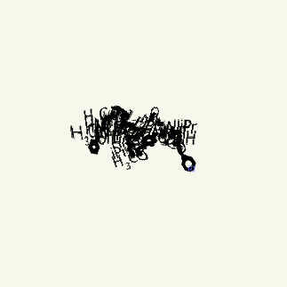 CC[C@H](C)[C@@H]([C@@H](CC(=O)N1CCC[C@H]1[C@H](OC)[C@@H](C)C(=O)N[C@H](C)[C@@H](O)c1ccccc1)OC)N(C)C(=O)[C@@H](NC(=O)[C@H](C(C)C)N(C)C(=O)OCc1ccc(NC(=O)[C@H](CCCNC(N)=O)NC(=O)[C@@H](NC(=O)OCC2C3CC/C=C\CCC32)C(C)C)cc1)C(C)C